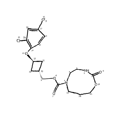 O=C1NCCN(C(=O)OC[C@H]2C[C@H](Oc3ccc(C(F)(F)F)cc3Cl)C2)CCCO1